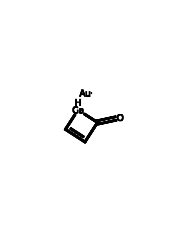 O=[C]1C=[CH][GaH]1.[Au]